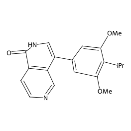 COc1cc(-c2c[nH]c(=O)c3ccncc23)cc(OC)c1C(C)C